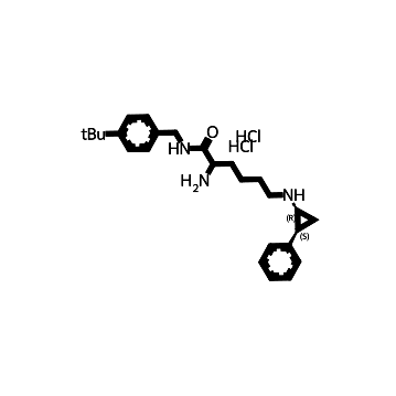 CC(C)(C)c1ccc(CNC(=O)C(N)CCCCN[C@@H]2C[C@H]2c2ccccc2)cc1.Cl.Cl